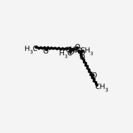 CCCCCCC(=O)CCCCCCCCCCCOCC(CO[PH](=O)OCC(COCCCCCCCCCCCC(=O)CCCCCC)OC)OC